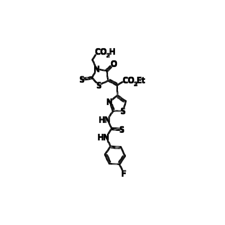 CCOC(=O)C(=C1SC(=S)N(CC(=O)O)C1=O)c1csc(NC(=S)Nc2ccc(F)cc2)n1